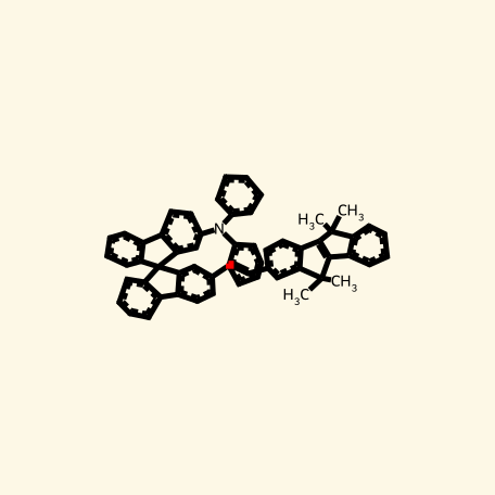 CC1(C)C2=C(c3ccccc31)C(C)(C)c1cc(/C=C/c3ccc4c(c3)C3(c5ccccc5-4)c4ccccc4-c4ccc(N(c5ccccc5)c5ccccc5)cc43)ccc12